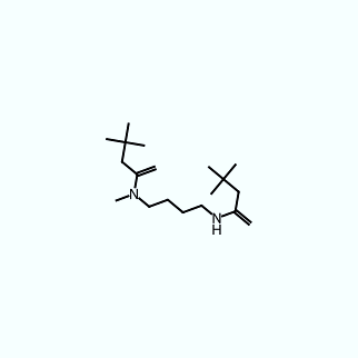 C=C(CC(C)(C)C)NCCCCN(C)C(=C)CC(C)(C)C